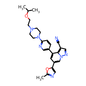 Cc1ncc(-c2cc(-c3ccc(N4CCN(CCOC(C)C)CC4)nc3)c3c(C#N)cnn3c2)o1